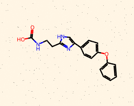 O=C(O)NCCc1nc(-c2ccc(Oc3ccccc3)cc2)c[nH]1